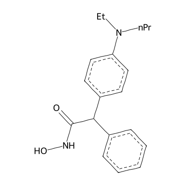 CCCN(CC)c1ccc(C(C(=O)NO)c2ccccc2)cc1